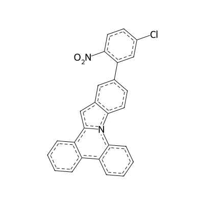 O=[N+]([O-])c1ccc(Cl)cc1-c1ccc2c(c1)cc1c3ccccc3c3ccccc3n21